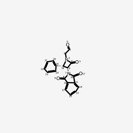 O=CCN1C(=O)[C@H](N2C(=O)c3ccccc3C2=O)[C@@H]1c1ccccc1